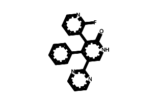 O=c1[nH]cc(-c2ncccn2)c(-c2ccccc2)c1-c1cccnc1F